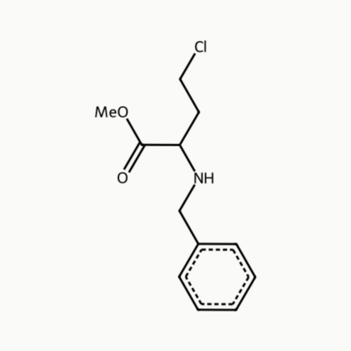 COC(=O)C(CCCl)NCc1ccccc1